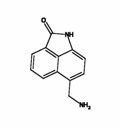 NCc1ccc2c3c(cccc13)C(=O)N2